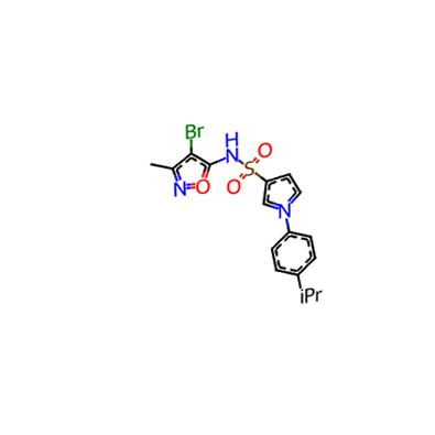 Cc1noc(NS(=O)(=O)c2ccn(-c3ccc(C(C)C)cc3)c2)c1Br